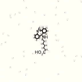 CN1Sc2ccccc2C(NCCCCCCC(=O)O)c2ccccc21